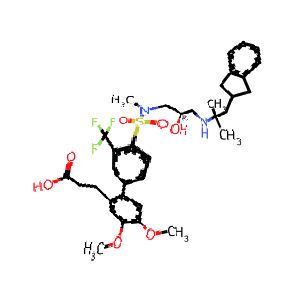 COc1cc(CCC(=O)O)c(-c2ccc(S(=O)(=O)N(C)C[C@H](O)CNC(C)(C)CC3Cc4ccccc4C3)c(C(F)(F)F)c2)cc1OC